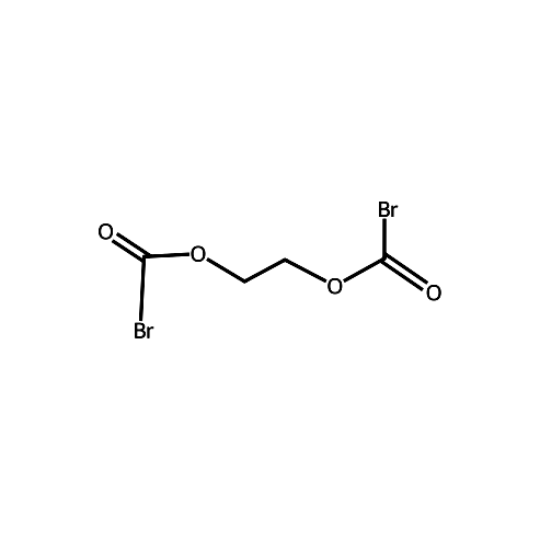 O=C(Br)OCCOC(=O)Br